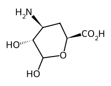 N[C@H]1C[C@@H](C(=O)O)OC(O)[C@@H]1O